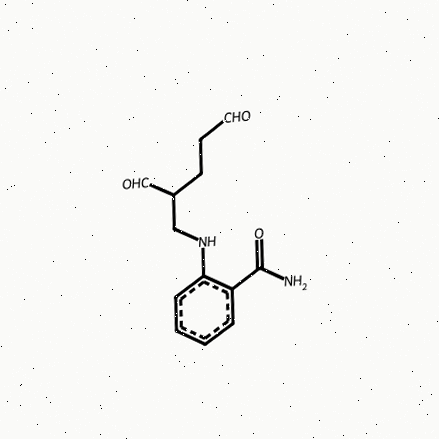 NC(=O)c1ccccc1NCC(C=O)CCC=O